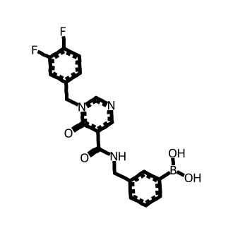 O=C(NCc1cccc(B(O)O)c1)c1cncn(Cc2ccc(F)c(F)c2)c1=O